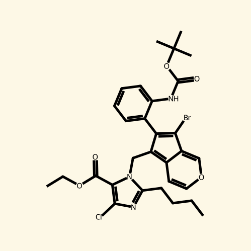 CCCCc1nc(Cl)c(C(=O)OCC)n1Cc1c2ccocc-2c(Br)c1-c1ccccc1NC(=O)OC(C)(C)C